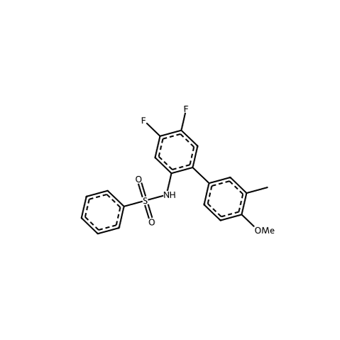 COc1ccc(-c2cc(F)c(F)cc2NS(=O)(=O)c2ccccc2)cc1C